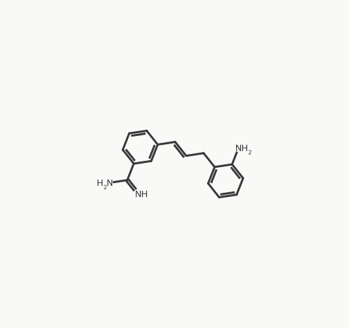 N=C(N)c1cccc(/C=C/Cc2ccccc2N)c1